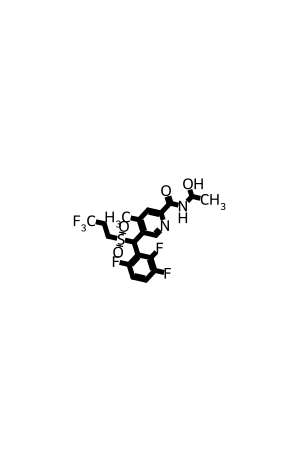 Cc1cc(C(=O)NC(C)O)ncc1C(c1c(F)ccc(F)c1F)S(=O)(=O)CCC(F)(F)F